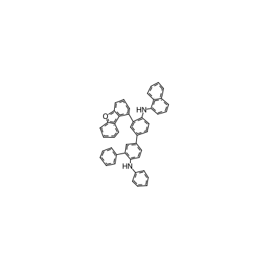 c1ccc(Nc2ccc(-c3ccc(Nc4cccc5ccccc45)c(-c4cccc5oc6ccccc6c45)c3)cc2-c2ccccc2)cc1